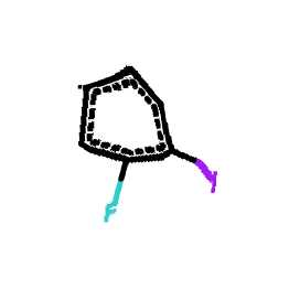 Fc1c[c]ccc1I